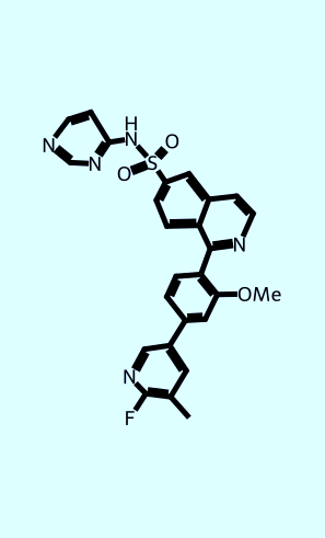 COc1cc(-c2cnc(F)c(C)c2)ccc1-c1nccc2cc(S(=O)(=O)Nc3ccncn3)ccc12